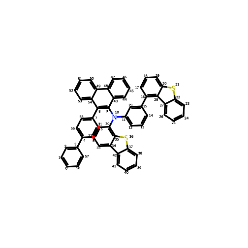 c1ccc(-c2ccc(-c3c(N(c4cccc(-c5cccc6sc7ccccc7c56)c4)c4cccc5c4sc4ccccc45)c4ccccc4c4ccccc34)cc2)cc1